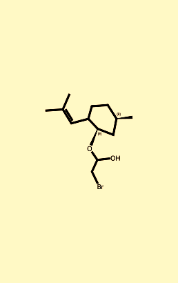 CC(C)=CC1CC[C@@H](C)C[C@H]1OC(O)CBr